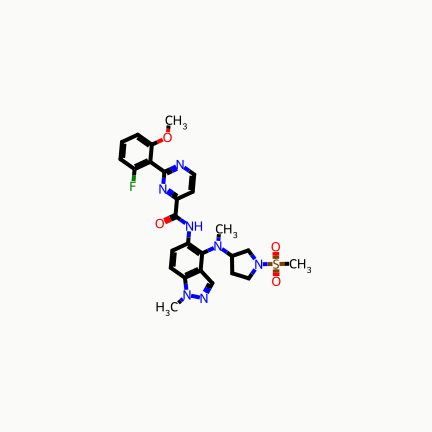 COc1cccc(F)c1-c1nccc(C(=O)Nc2ccc3c(cnn3C)c2N(C)C2CCN(S(C)(=O)=O)C2)n1